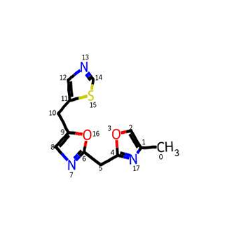 Cc1coc(Cc2ncc(Cc3cncs3)o2)n1